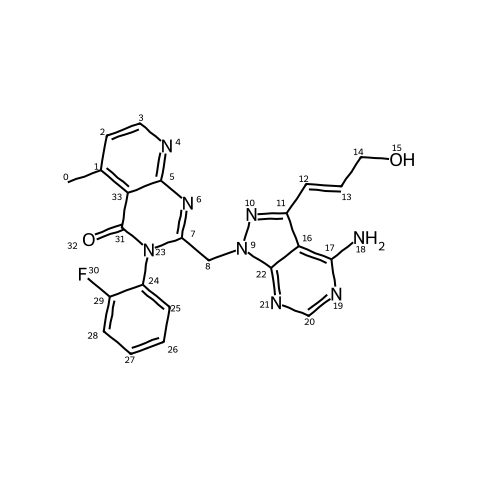 Cc1ccnc2nc(Cn3nc(/C=C/CO)c4c(N)ncnc43)n(-c3ccccc3F)c(=O)c12